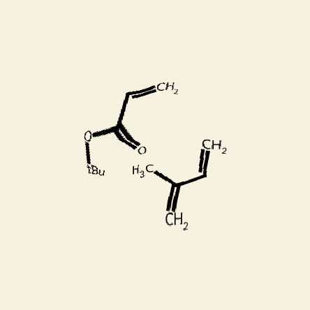 C=CC(=C)C.C=CC(=O)OC(C)(C)C